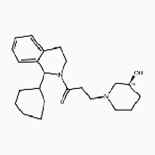 O=C(CCN1CCC[C@H](O)C1)N1CCc2ccccc2C1C1CCCCC1